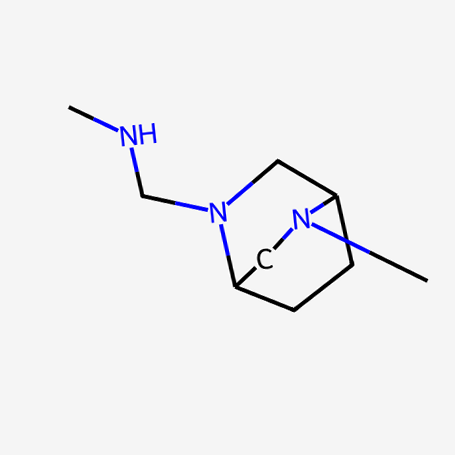 CNCN1CC2CCC1CN2C